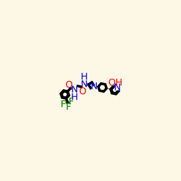 O=C(CNC(=O)c1cccc(C(F)(F)F)c1)NC1CN([C@H]2CC[C@@H](c3cccnc3O)CC2)C1